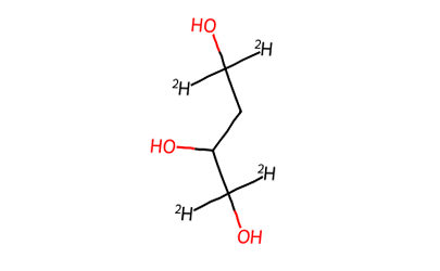 [2H]C([2H])(O)CC(O)C([2H])([2H])O